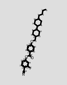 CCCCC1CCC(C2CCC(COc3ccc(C(=O)Oc4ccc(C#N)c(F)c4)cc3)CC2)CC1